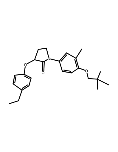 CCc1ccc(OC2CCN(c3ccc(OCC(C)(C)C)c(C)c3)C2=O)cc1